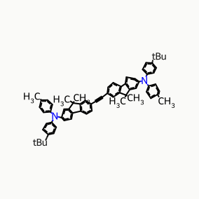 Cc1ccc(N(c2ccc(C(C)(C)C)cc2)c2ccc3c(c2)C(C)(C)c2cc(C#Cc4ccc5c(c4)C(C)(C)c4cc(N(c6ccc(C)cc6)c6ccc(C(C)(C)C)cc6)ccc4-5)ccc2-3)cc1